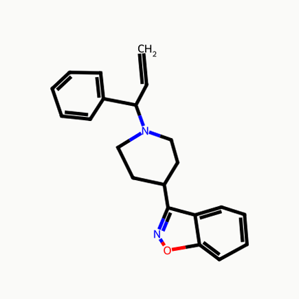 C=CC(c1ccccc1)N1CCC(c2noc3ccccc23)CC1